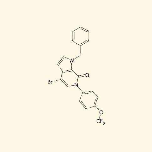 O=c1c2c(ccn2Cc2ccccc2)c(Br)cn1-c1ccc(OC(F)(F)F)cc1